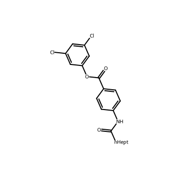 CCCCCCCC(=O)Nc1ccc(C(=O)Oc2cc(Cl)cc(Cl)c2)cc1